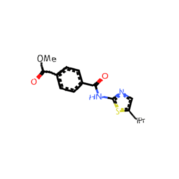 COC(=O)c1ccc(C(=O)Nc2ncc(C(C)C)s2)cc1